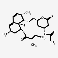 CC[C@H](C)C(=O)O[C@H]1C[C@@H](C)C=C2C=C[C@H](C)[C@H](CC[C@H]3C[C@@H](OC(C)=O)CC(=O)O3)[C@H]21